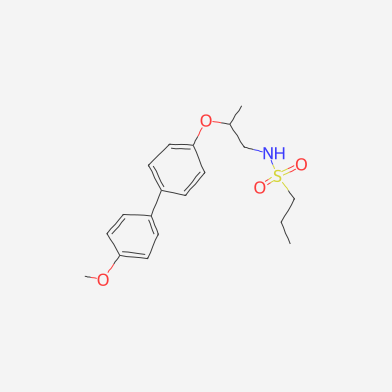 CCCS(=O)(=O)NCC(C)Oc1ccc(-c2ccc(OC)cc2)cc1